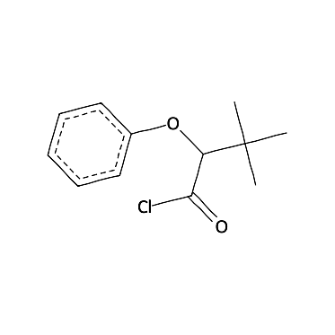 CC(C)(C)C(Oc1ccccc1)C(=O)Cl